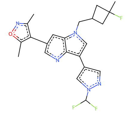 Cc1noc(C)c1-c1cnc2c(-c3cnn(C(F)F)c3)cn(CC3CC(C)(F)C3)c2c1